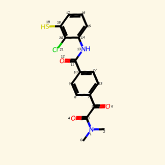 CN(C)C(=O)C(=O)c1ccc(C(=O)Nc2cccc(S)c2Cl)cc1